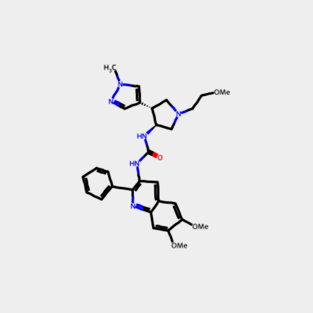 COCCN1C[C@@H](NC(=O)Nc2cc3cc(OC)c(OC)cc3nc2-c2ccccc2)[C@H](c2cnn(C)c2)C1